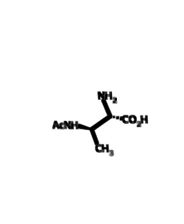 CC(=O)N[C@H](C)[C@H](N)C(=O)O